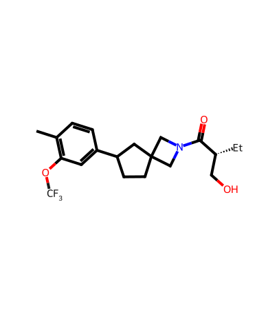 CC[C@H](CO)C(=O)N1CC2(CCC(c3ccc(C)c(OC(F)(F)F)c3)C2)C1